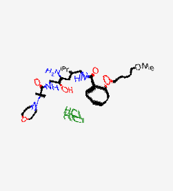 COCCCCOc1ccccc1C(=O)NCC(CC(N)C(O)CNC(=O)C(C)(C)N1CCOCC1)C(C)C.Cl.Cl